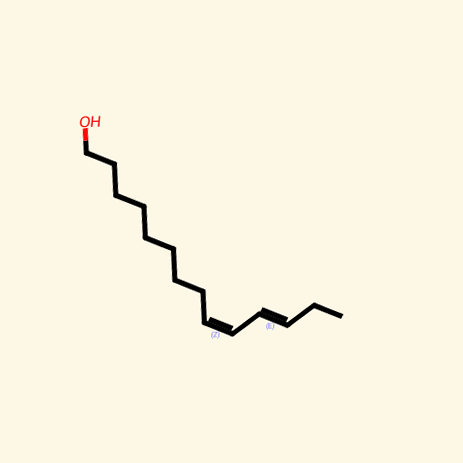 CC/C=C/C=C\CCCCCCCCO